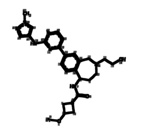 CC(C)OC1CN(C(=O)NC2CCN(CCO)Cc3cc(-c4ccnc(Nc5cnn(C)c5)n4)ccc32)C1